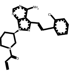 C=CC(=O)N1CCC[C@@H](n2nc(/C=C/c3ccccc3Cl)c3c(N)ncnc32)C1